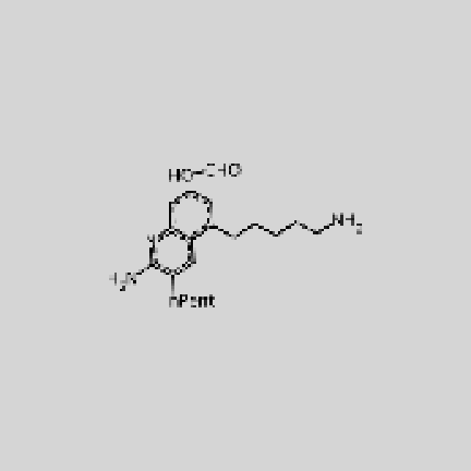 CCCCCc1cc2c(CCCCCN)cccc2nc1N.O=CO